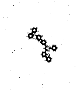 c1ccc(-c2nc(-c3ccc4c(c3)oc3cc(-n5c6ccccc6c6ccccc65)ccc34)cc(-c3cccc4c3oc3ccccc34)n2)cc1